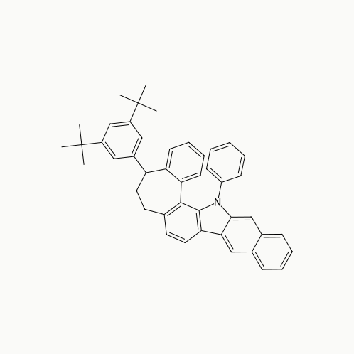 CC(C)(C)c1cc(C2CCc3ccc4c5cc6ccccc6cc5n(-c5ccccc5)c4c3-c3ccccc32)cc(C(C)(C)C)c1